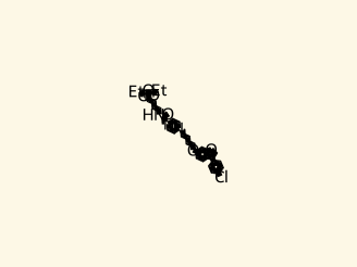 CCOP(=O)(CCCCNC(=O)CN1CCN(CCCCCOc2ccc3c(-c4ccc(Cl)cc4)coc3c2)CC1)OCC